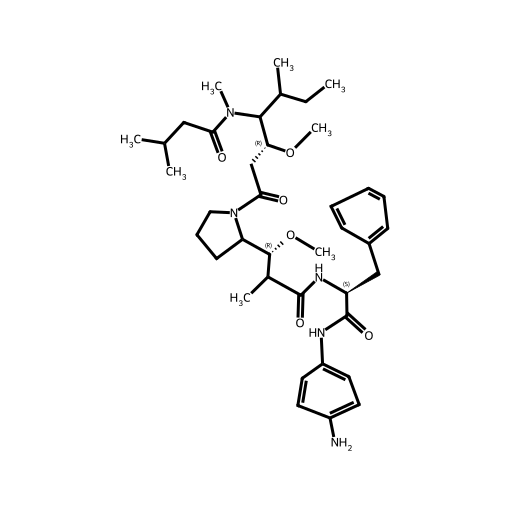 CCC(C)C([C@@H](CC(=O)N1CCCC1[C@H](OC)C(C)C(=O)N[C@@H](Cc1ccccc1)C(=O)Nc1ccc(N)cc1)OC)N(C)C(=O)CC(C)C